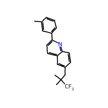 Cc1cccc(-c2ccc3cc(CC(C)(C)C(F)(F)F)ccc3n2)c1